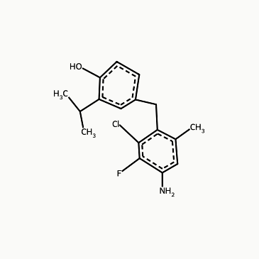 Cc1cc(N)c(F)c(Cl)c1Cc1ccc(O)c(C(C)C)c1